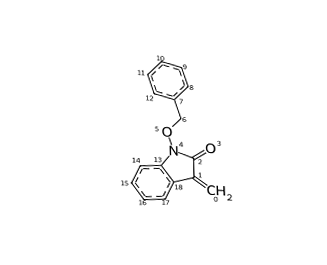 C=C1C(=O)N(OCc2ccccc2)c2ccccc21